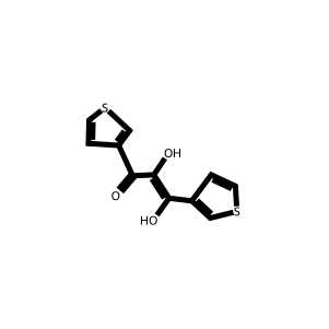 O=C(C(O)=C(O)c1ccsc1)c1ccsc1